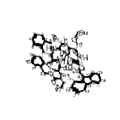 Cc1ccccc1C[C@H](NC(=O)[C@H](NC(=O)[C@H](COC(C)(C)C)NC(=O)OCC1c2ccccc2-c2ccccc21)C(C)C)C(=O)N[C@H](C(=O)N[C@@H](CC(C)C)C(=O)OCc1ccccc1)C(C)(C)C